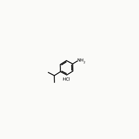 CC(C)c1ccc(N)cc1.Cl